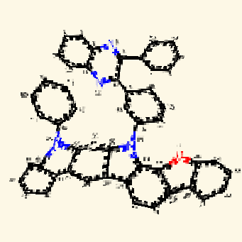 c1ccc(-c2nc3ccccc3nc2-c2cccc(-n3c4cc5c(cc4c4ccc6c7ccccc7oc6c43)c3ccccc3n5-c3ccccc3)c2)cc1